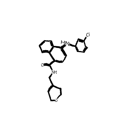 O=C(NCC1CCOCC1)c1ccc(Nc2cccc(Cl)c2)c2ccccc12